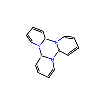 C1=CB2N3C=CC=CB3N3C=CC=CB3N2C=C1